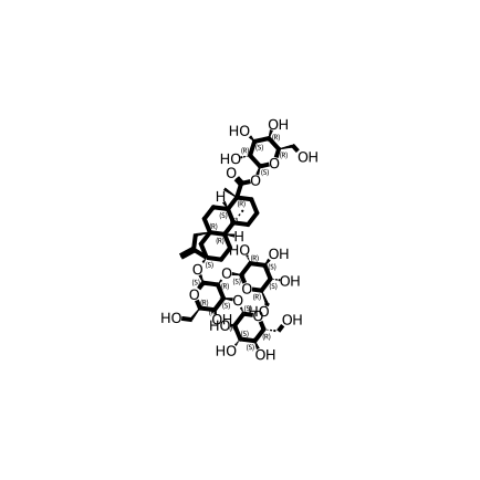 C=C1C[C@@]23CC[C@H]4[C@@](C)(CCC[C@@]4(C)C(=O)O[C@@H]4O[C@H](CO)[C@H](O)[C@H](O)[C@H]4O)[C@@H]2CC[C@]1(O[C@@H]1O[C@H](CO)[C@@H](O)[C@H](O[C@@H]2O[C@H](CO)[C@@H](O)[C@H](O)[C@H]2O)[C@H]1O[C@@H]1O[C@H](CO)[C@@H](O)[C@H](O)[C@H]1O)C3